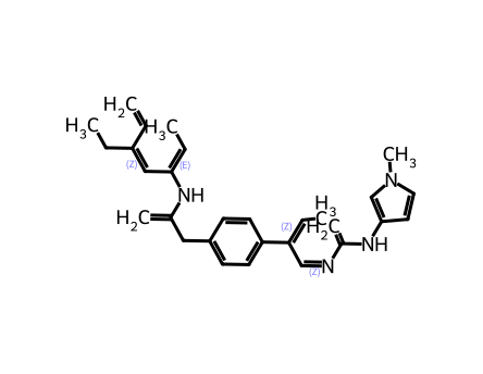 C=C/C(=C\C(=C/C)NC(=C)Cc1ccc(C(/C=N\C(=C)Nc2ccn(C)c2)=C/C)cc1)CC